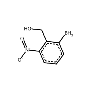 Bc1cccc([N+](=O)[O-])c1CO